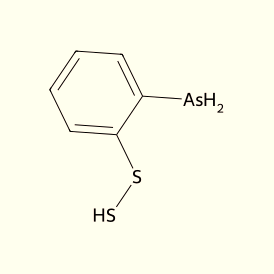 SSc1ccccc1[AsH2]